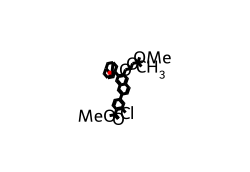 COC(=O)c1ccc(-c2ccc3cc(OCOC(C)OC)c(C45CC6CC(CC(C6)C4)C5)cc3c2)cc1Cl